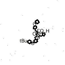 CC(C)(C)c1ccc(Oc2ccc3c(c2)C[C@@H](C(=O)N[C@@H](Cc2ccc(Oc4ccccc4)cc2)C(=O)O)N(CCC2CCCC2)C3)cc1